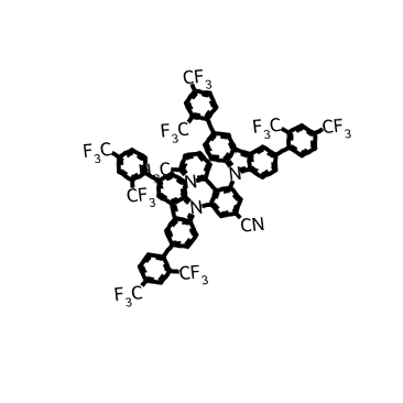 Cc1cccc(-c2c(-n3c4ccc(-c5ccc(C(F)(F)F)cc5C(F)(F)F)cc4c4cc(-c5ccc(C(F)(F)F)cc5C(F)(F)F)ccc43)cc(C#N)cc2-n2c3ccc(-c4ccc(C(F)(F)F)cc4C(F)(F)F)cc3c3cc(-c4ccc(C(F)(F)F)cc4C(F)(F)F)ccc32)n1